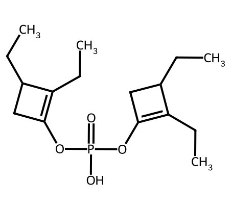 CCC1=C(OP(=O)(O)OC2=C(CC)C(CC)C2)CC1CC